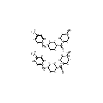 CC(C)N1CCN(C(=O)[C@H]2CC[C@H](Nc3ccc(C(F)(F)F)cc3)CC2)CC1.CC(C)N1CCN(C(=O)[C@H]2CC[C@H](Nc3ccc(C(F)(F)F)nc3)CC2)CC1